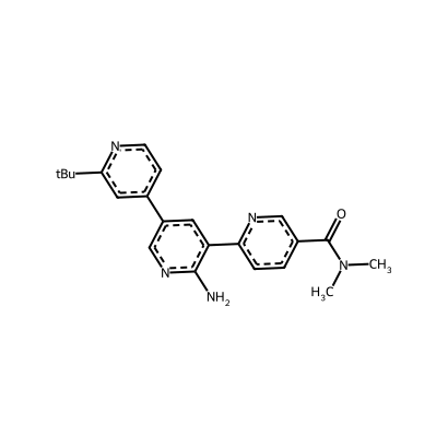 CN(C)C(=O)c1ccc(-c2cc(-c3ccnc(C(C)(C)C)c3)cnc2N)nc1